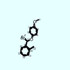 COc1ccc(OC(Br)c2ccccc2C)cc1